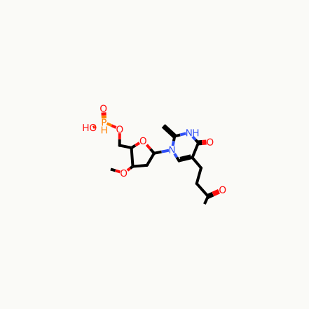 C=C1NC(=O)C(CCC(C)=O)=CN1C1CC(OC)C(CO[PH](=O)O)O1